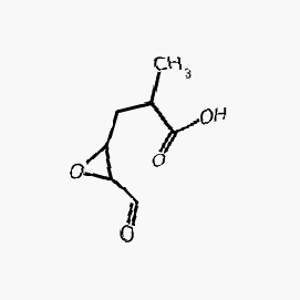 CC(CC1OC1C=O)C(=O)O